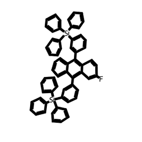 Fc1ccc2c(-c3cccc([Si](c4ccccc4)(c4ccccc4)c4ccccc4)c3)c3ccccc3c(-c3cccc([Si](c4ccccc4)(c4ccccc4)c4ccccc4)c3)c2c1